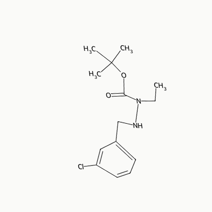 CCN(NCc1cccc(Cl)c1)C(=O)OC(C)(C)C